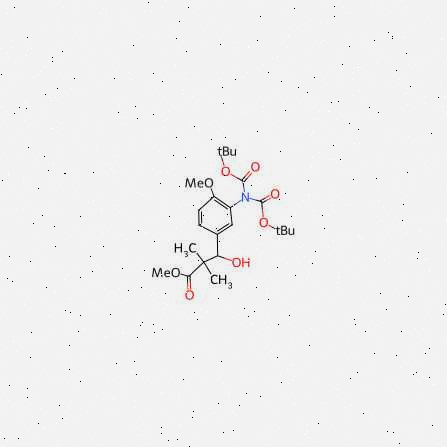 COC(=O)C(C)(C)C(O)c1ccc(OC)c(N(C(=O)OC(C)(C)C)C(=O)OC(C)(C)C)c1